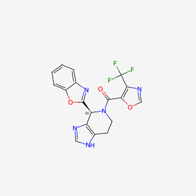 O=C(c1ocnc1C(F)(F)F)N1CCc2[nH]cnc2[C@H]1c1nc2ccccc2o1